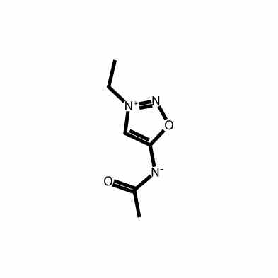 CC[n+]1cc([N-]C(C)=O)on1